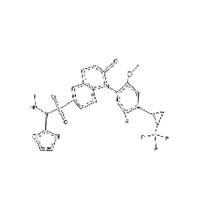 COc1cc(C2CC2C(F)(F)F)c(F)cc1-n1c(=O)ccc2cc(S(=O)(=O)N(PC)c3ncco3)ccc21